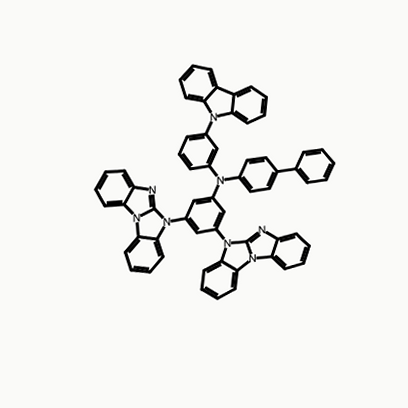 c1ccc(-c2ccc(N(c3cccc(-n4c5ccccc5c5ccccc54)c3)c3cc(-n4c5ccccc5n5c6ccccc6nc45)cc(-n4c5ccccc5n5c6ccccc6nc45)c3)cc2)cc1